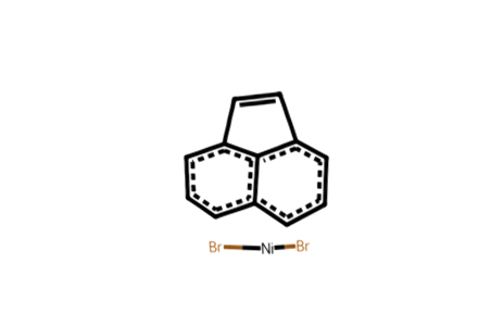 C1=Cc2cccc3cccc1c23.[Br][Ni][Br]